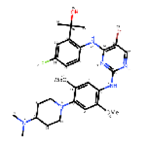 COc1cc(N2CCC(N(C)C)CC2)c(OC)cc1Nc1ncc(Br)c(Nc2ccc(F)cc2C(C)(C)O)n1